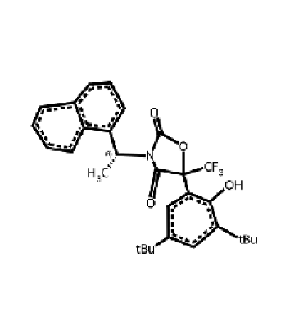 C[C@H](c1cccc2ccccc12)N1C(=O)OC(c2cc(C(C)(C)C)cc(C(C)(C)C)c2O)(C(F)(F)F)C1=O